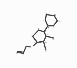 C=CCOC1CCC(C2CCCCC2)C(C)C1C